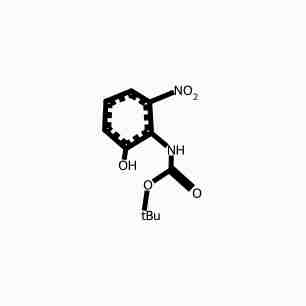 CC(C)(C)OC(=O)Nc1c(O)cccc1[N+](=O)[O-]